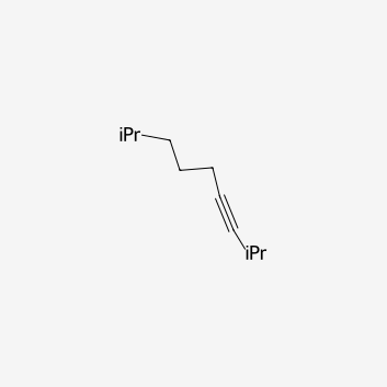 [CH2]C(C)CCCC#CC(C)C